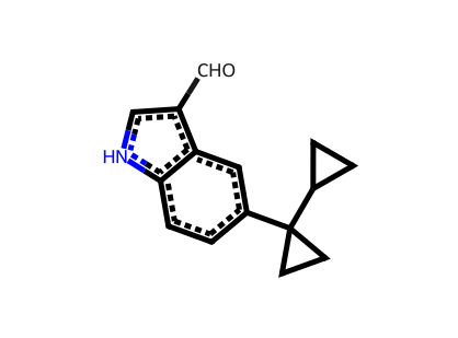 O=Cc1c[nH]c2ccc(C3(C4CC4)CC3)cc12